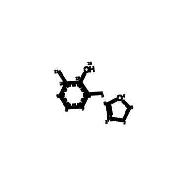 C1=NCCO1.Cc1cccc(C)c1O